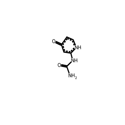 NC(=O)Nc1cc(=O)cc[nH]1